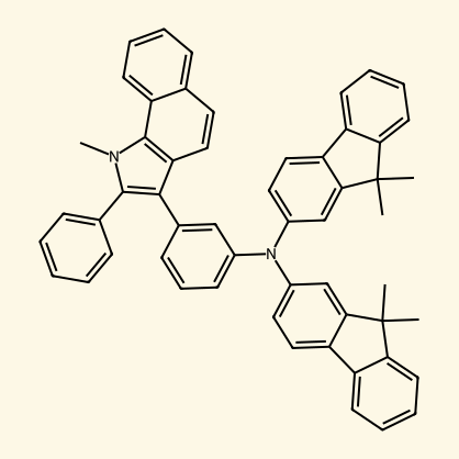 Cn1c(-c2ccccc2)c(-c2cccc(N(c3ccc4c(c3)C(C)(C)c3ccccc3-4)c3ccc4c(c3)C(C)(C)c3ccccc3-4)c2)c2ccc3ccccc3c21